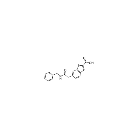 O=C(Cc1ccc2cc(C(=O)O)sc2c1)NCc1ccccc1